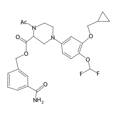 CC(=O)N1CCN(c2ccc(OC(F)F)c(OCC3CC3)c2)CC1C(=O)OCc1cccc(C(N)=O)c1